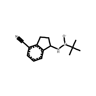 CC(C)(C)[S+]([O-])NC1CCc2c(C#N)cccc21